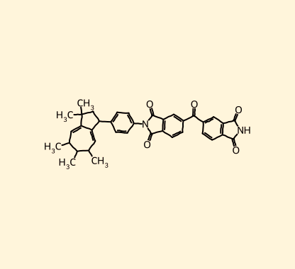 CC1C=C2C(=CC(C)C1C)C(C)(C)CC2c1ccc(N2C(=O)c3ccc(C(=O)c4ccc5c(c4)C(=O)NC5=O)cc3C2=O)cc1